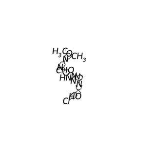 C[C@@H]1CN(C2CCN(C=O)C(c3ccc(Nc4nc5c(N6CCC(CO)(c7ccc(Cl)cc7)CC6)cccn5n4)cc3)C2)C[C@H](C)O1